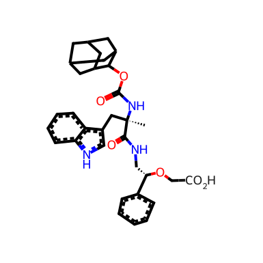 C[C@](Cc1c[nH]c2ccccc12)(NC(=O)OC1C2CC3CC(C2)CC1C3)C(=O)NC[C@H](OCC(=O)O)c1ccccc1